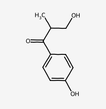 CC(CO)C(=O)c1ccc(O)cc1